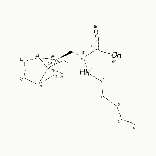 CCCCCN[C@H](C[C@H]1CC2CCC1C2(C)C)C(=O)O